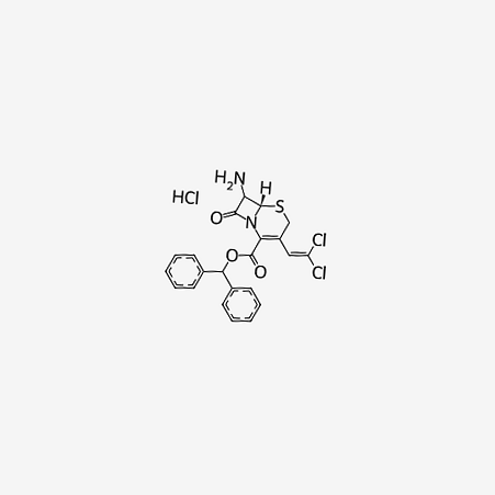 Cl.NC1C(=O)N2C(C(=O)OC(c3ccccc3)c3ccccc3)=C(C=C(Cl)Cl)CS[C@@H]12